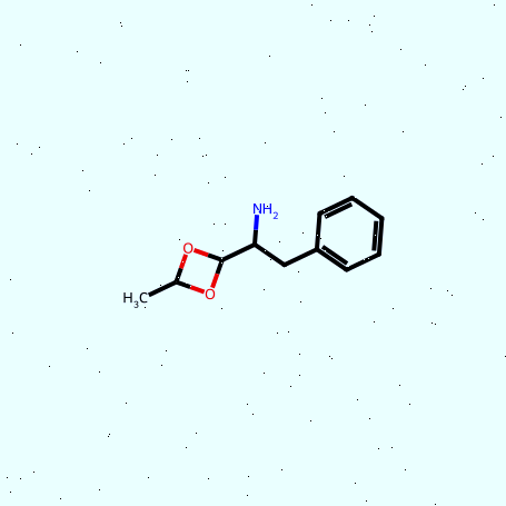 CC1OC(C(N)Cc2ccccc2)O1